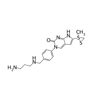 CS1(c2cc3cn(-c4ccc(CNCCCN)cc4)c(=O)nc3[nH]2)CS1